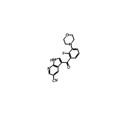 N#Cc1cnc2[nH]cc(C(=O)c3cccc(N4CCOCC4)c3F)c2c1